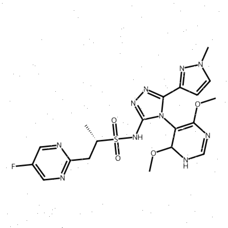 COC1=C(n2c(NS(=O)(=O)[C@@H](C)Cc3ncc(F)cn3)nnc2-c2ccn(C)n2)C(OC)NC=N1